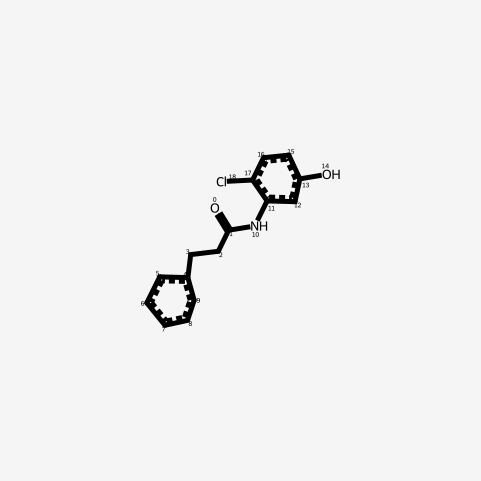 O=C(CCc1ccccc1)Nc1cc(O)ccc1Cl